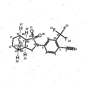 N#Cc1ccc(N2C[C@@H]3[C@@H]([C@@H]4CC[C@H]3NC4)S2(=O)=O)cc1C(F)(F)F